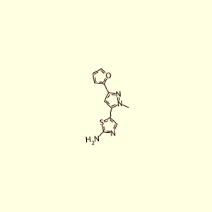 Cn1nc(-c2ccco2)cc1-c1cnc(N)s1